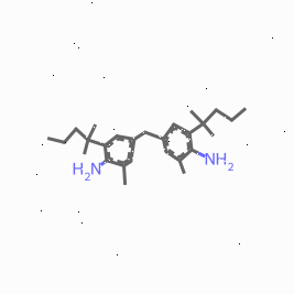 CCCC(C)(C)c1cc(Cc2cc(C)c(N)c(C(C)(C)CCC)c2)cc(C)c1N